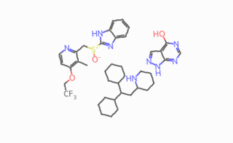 C1CCC(C(CC2CCCCN2)C2CCCCC2)CC1.Cc1c(OCC(F)(F)F)ccnc1C[S+]([O-])c1nc2ccccc2[nH]1.Oc1ncnc2[nH]ncc12